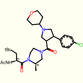 CC(=O)N[C@@H](CC(C)(C)C)C(=O)N1CCN(C(=O)C2CN(C3CCOCC3)CC2c2ccc(Cl)cc2)C[C@H]1C